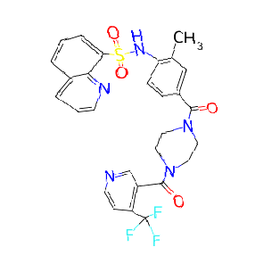 Cc1cc(C(=O)N2CCN(C(=O)c3cnccc3C(F)(F)F)CC2)ccc1NS(=O)(=O)c1cccc2cccnc12